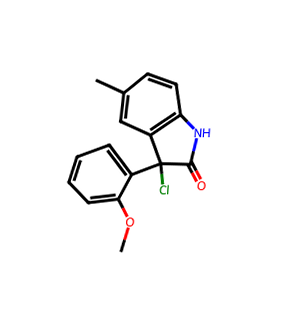 COc1ccccc1C1(Cl)C(=O)Nc2ccc(C)cc21